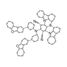 N#Cc1c(N(c2cccc(-c3ccc4oc5ccccc5c4c3)c2)c2cccc(-c3ccc4oc5ccccc5c4c3)c2)c(C#N)c2c3c1-n1c4ccccc4c4cccc(c41)B3c1cccc3c4ccccc4n-2c13